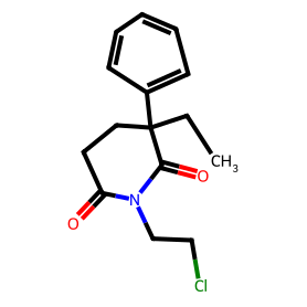 CCC1(c2ccccc2)CCC(=O)N(CCCl)C1=O